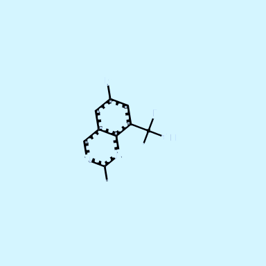 CC(F)(F)c1cc(Br)cc2cnc(F)nc12